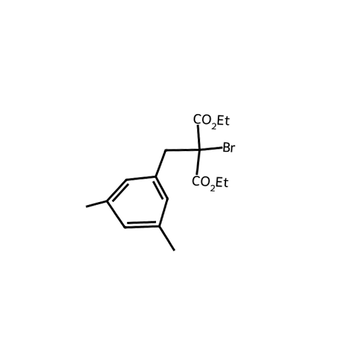 CCOC(=O)C(Br)(Cc1cc(C)cc(C)c1)C(=O)OCC